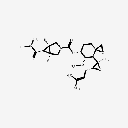 CO[C@@H]1[C@H](OC(=O)N2C[C@@H]3[C@H](C2)[C@H]3C(=O)N(C)C)CC[C@]2(CO2)[C@H]1[C@@]1(C)O[C@@H]1CC=C(C)C